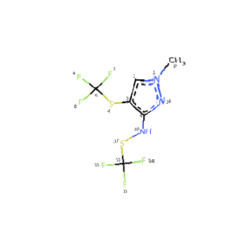 Cn1cc(SC(F)(F)F)c(NSC(F)(F)F)n1